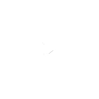 [AlH2][Fe].[Cr].[Ni]